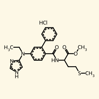 CCN(c1ccc(C(=O)NC(CCSC)C(=O)OC)c(-c2ccccc2)c1)c1c[nH]cn1.Cl